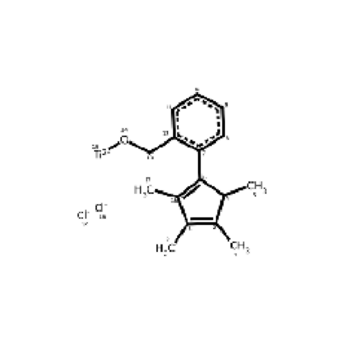 CC1=C(C)C(C)C(c2ccccc2C[O][Ti+2])=C1C.[Cl-].[Cl-]